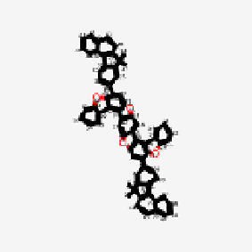 CC1(C)c2cc(-c3cc4oc5cc6c(cc5c4c4c3oc3ccccc34)oc3cc(-c4ccc5c(c4)C(C)(C)c4ccc7ccccc7c4-5)c4oc5ccccc5c4c36)ccc2-c2c1ccc1ccccc21